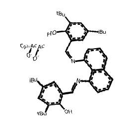 CC(=O)[O-].CC(=O)[O-].CCC(C)c1cc(C=Nc2cccc3cccc(N=Cc4cc(C(C)CC)cc(C(C)(C)C)c4O)c23)c(O)c(C(C)(C)C)c1.[Co+2]